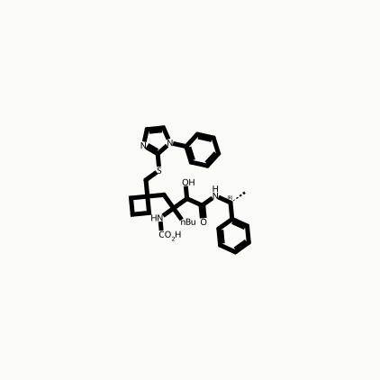 CCCCC(CC1(CSc2nccn2-c2ccccc2)CCC1)(NC(=O)O)C(O)C(=O)N[C@H](C)c1ccccc1